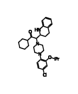 CC(C)Oc1cc(Cl)ccc1N1CCN(C(C(=O)C2CCCCC2)C2CCc3ccccc3N2)CC1